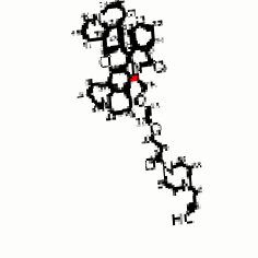 C#CCN1CCN(C(=O)CCOCCOCCN2C(=O)c3ccccc3C23c2cc4c5c(c2Oc2c3cc3c6c2CCCN6CCC3)CCCN5CCC4)CC1